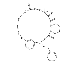 CC1(C)COC(=O)CCCCCCOc2cccc(c2)[C@@H](CCc2ccccc2)OC(=O)C2CCCCN2C(=O)C1=O